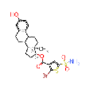 C[C@]12CCC3c4ccc(O)cc4CCC3C1CC[C@@H]2OC(=O)c1cc(S(N)(=O)=O)sc1Br